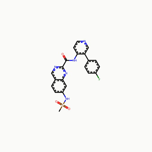 CS(=O)(=O)Nc1ccc2cnc(C(=O)Nc3ccncc3-c3ccc(F)cc3)nc2c1